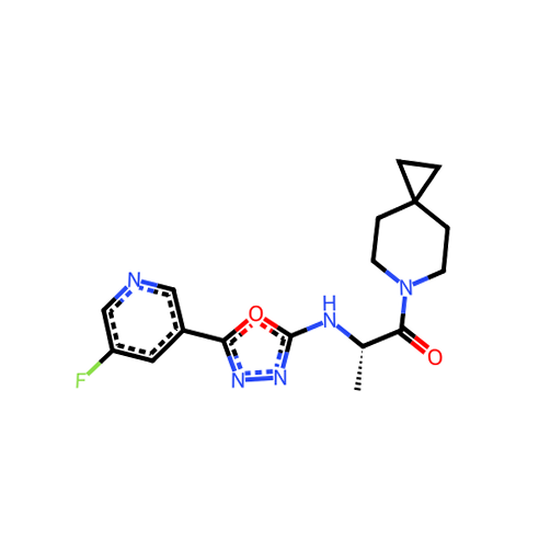 C[C@H](Nc1nnc(-c2cncc(F)c2)o1)C(=O)N1CCC2(CC1)CC2